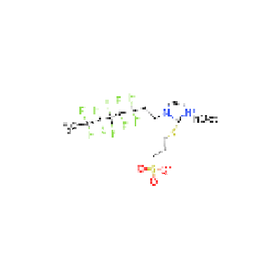 CCCCCCCC[n+]1ccn(CCC(F)(F)C(F)(F)C(F)(F)C(F)(F)C(F)(F)C(F)(F)F)c1SCCCS(=O)(=O)[O-]